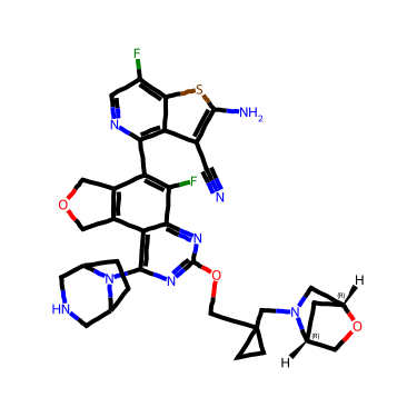 N#Cc1c(N)sc2c(F)cnc(-c3c4c(c5c(N6C7CCC6CNC7)nc(OCC6(CN7C[C@H]8C[C@@H]7CO8)CC6)nc5c3F)COC4)c12